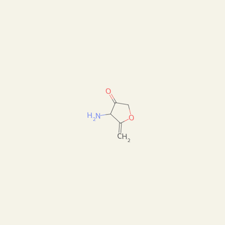 C=C1OCC(=O)C1N